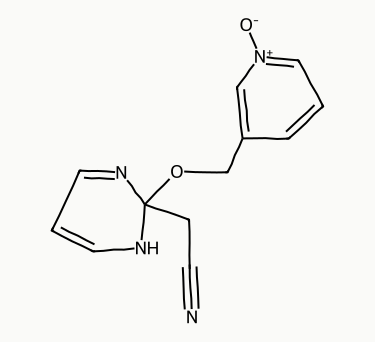 N#CCC1(OCc2ccc[n+]([O-])c2)N=CC=CN1